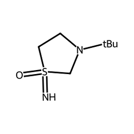 CC(C)(C)N1CCS(=N)(=O)C1